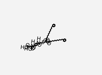 O=C(O)CCC(NC(=O)c1ccc(NC(=O)CCSCC(COC(=O)CCCCCCCCCCCc2ccccc2)OC(=O)CCCCCCCCCCCc2ccccc2)cc1)C(=O)O